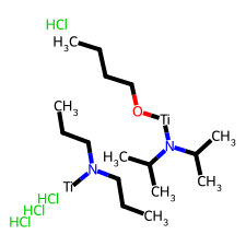 CCCC[O][Ti][N](C(C)C)C(C)C.CCC[N]([Ti])CCC.Cl.Cl.Cl.Cl